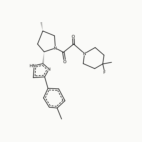 Cc1ccc(-c2c[nH]c([C@@H]3C[C@H](C)CN3C(=O)C(=O)N3CCC(C)(F)CC3)n2)cc1